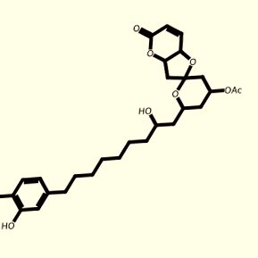 CC(=O)OC1CC(CC(O)CCCCCCCc2ccc(O)c(O)c2)OC2(C1)CC1OC(=O)C=CC1O2